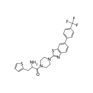 NC(Cc1cccs1)C(=O)N1CCN(c2nc3ccc(-c4ccc(C(F)(F)F)cc4)cc3s2)CC1